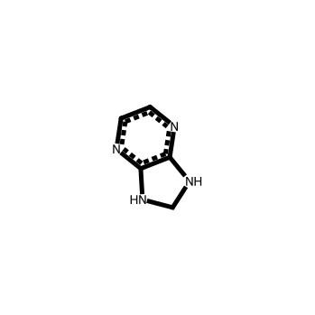 c1cnc2c(n1)NCN2